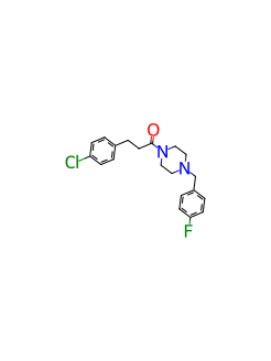 O=C(CCc1ccc(Cl)cc1)N1CCN(Cc2ccc(F)cc2)CC1